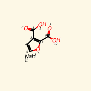 O=C(O)c1ccoc1C(=O)O.[NaH]